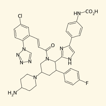 NC1CCN(C2CC(c3ccc(F)cc3)C(c3nc(-c4ccc(NC(=O)O)cc4)c[nH]3)N(C(=O)/C=C/c3cc(Cl)ccc3-n3cnnn3)C2)CC1